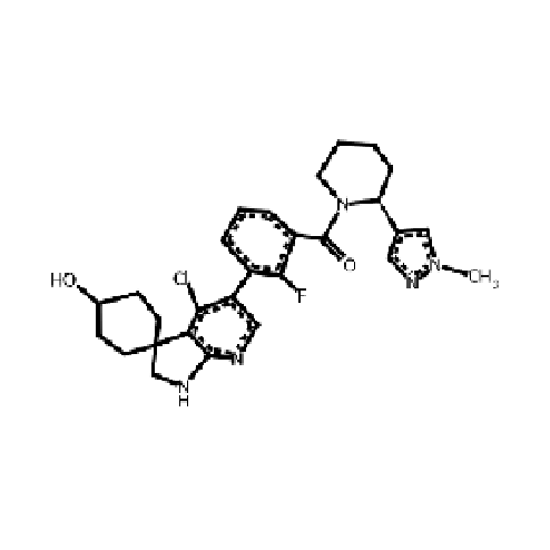 Cn1cc([C@@H]2CCCCN2C(=O)c2cccc(-c3cnc4c(c3Cl)C3(CCC(O)CC3)CN4)c2F)cn1